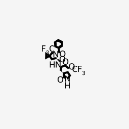 O=C(COC(F)(F)F)C(C[C@@H]1CCNC1=O)NC(=O)[C@@H]1CC2(CC2)CN1C(=O)c1ccccc1C(F)(F)F